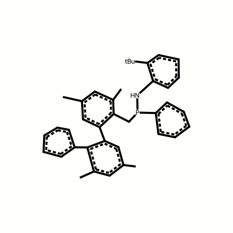 Cc1cc(C)c(CP(Nc2ccccc2C(C)(C)C)c2ccccc2)c(-c2cc(C)cc(C)c2-c2ccccc2)c1